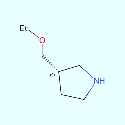 CCOC[C@H]1CCNC1